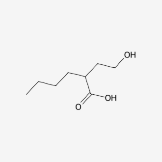 CCCCC(CCO)C(=O)O